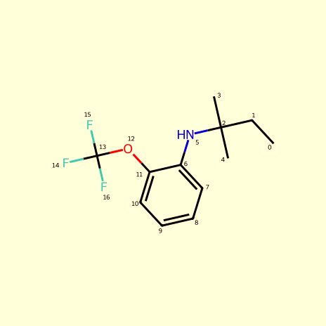 CCC(C)(C)Nc1ccccc1OC(F)(F)F